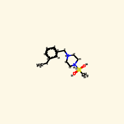 CCc1cccc(CN2CCN(S(C)(=O)=O)CC2)c1